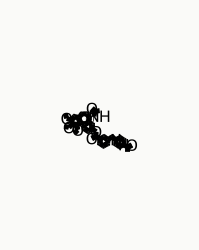 COc1cc2c(c(OC)c1OC)-c1ccc(OC(=O)c3cccc(CN4CCN(C(C)=O)CC4)c3)cc1[C@@H](NC(C)=O)CC2